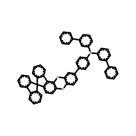 c1ccc(-c2cccc(N(c3ccc(-c4ccc5c(c4)Oc4c(ccc6c4-c4ccccc4C64c6ccccc6-c6ccccc64)O5)cc3)c3cccc(-c4ccccc4)c3)c2)cc1